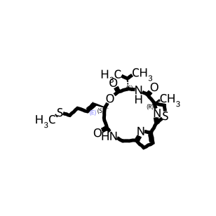 CSCC/C=C/[C@@H]1CC(=O)NCC2=NC(=CC2)C2=N[C@@](C)(CS2)C(=O)N[C@@H](C(C)C)C(=O)O1